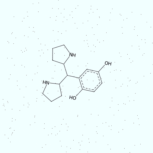 Oc1ccc(O)c(C(C2CCCN2)C2CCCN2)c1